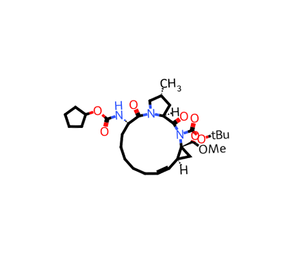 COC(=O)[C@@]12C[C@H]1/C=C\CCCCC[C@H](NC(=O)OC1CCCC1)C(=O)N1C[C@H](C)C[C@H]1C(=O)N2C(=O)OC(C)(C)C